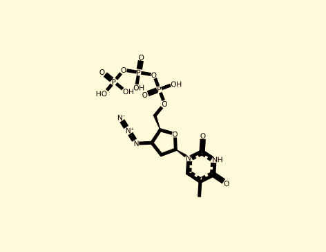 Cc1cn([C@H]2CC(N=[N+]=[N-])[C@@H](COP(=O)(O)OP(=O)(O)OP(=O)(O)O)O2)c(=O)[nH]c1=O